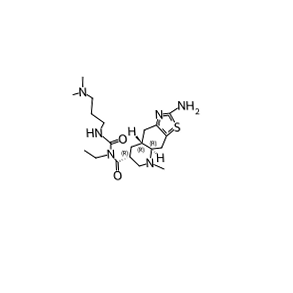 CCN(C(=O)NCCCN(C)C)C(=O)[C@@H]1C[C@@H]2Cc3nc(N)sc3C[C@H]2N(C)C1